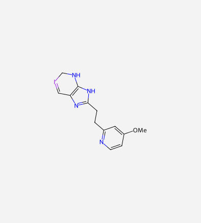 COc1ccnc(CCc2nc3c([nH]2)NCI=C3)c1